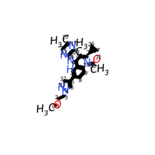 COCCn1cc(-c2ccc3c(c2)[C@@H](Nc2cnc(C)cn2)[C@H](C)[C@@H](C2CC2)N3C(C)=O)cn1